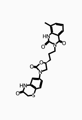 Cc1cccc2c(=O)n(CCC[C@H]3CN(c4ccc5c(c4)NC(=O)CS5)C(=O)O3)c(=O)[nH]c12